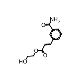 NC(=O)c1cccc(/C=C/C(=O)OCCO)c1